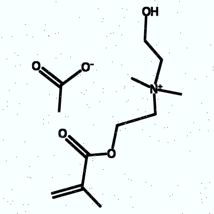 C=C(C)C(=O)OCC[N+](C)(C)CCO.CC(=O)[O-]